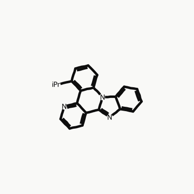 CC(C)c1cccc2c1c1ncccc1c1nc3ccccc3n21